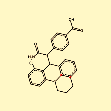 NC(=O)C(c1ccc(C(=O)O)cc1)C(c1ccccc1)c1c(Cl)cccc1N1CCCCC1